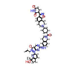 C=CCn1c(=O)c2cnc(Nc3ccc4c(c3)CCN(C(=O)[C@H]3CC[C@@H](N5CCc6ccc7c(C8CCC(=O)NC8=O)noc7c6CC5)CC3)C4)nc2n1-c1ccc2c(n1)[C@@](O)(CC)CC2